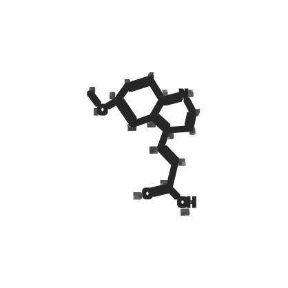 COc1ccc2nccc(C=CC(=O)O)c2c1